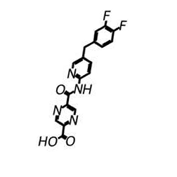 O=C(O)c1cnc(C(=O)Nc2ccc(Cc3ccc(F)c(F)c3)cn2)cn1